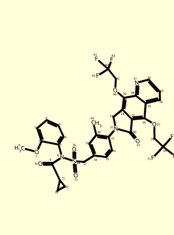 COc1ccccc1N(C(=O)C1CC1)S(=O)(=O)Cc1ccc(N2Cc3c(c(OCC(F)(F)F)c4cccnc4c3OCC(F)(F)F)C2=O)c(C)c1